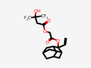 C=CC1(OC(=O)COC(=O)CC(O)(C(F)(F)F)C(F)(F)F)C2CC3CC(C2)CC1C3